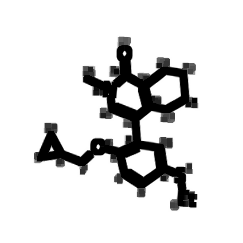 CCSc1ccc(OCC2CC2)c(-c2cn(C)c(=O)c3c2CCCC3)c1